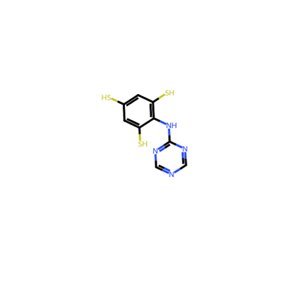 Sc1cc(S)c(Nc2ncncn2)c(S)c1